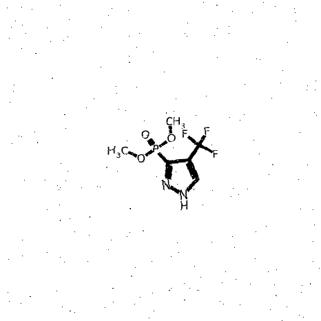 COP(=O)(OC)c1n[nH]cc1C(F)(F)F